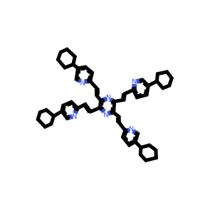 C(=Cc1nc(C=Cc2ccc(C3CCCCC3)cn2)c(C=Cc2ccc(C3CCCCC3)cn2)nc1C=Cc1ccc(C2CCCCC2)cn1)c1ccc(C2CCCCC2)cn1